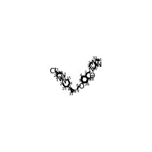 O=C(Cc1ccc(OCC[C@@H]2C[C@@H]2C2CCN(c3ncc(Cl)cn3)CC2)cc1F)N1CCn2ccnc2C1